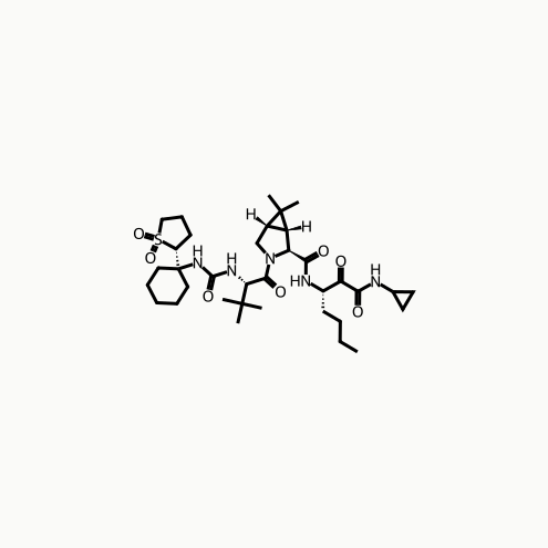 CCCC[C@H](NC(=O)[C@@H]1[C@@H]2[C@H](CN1C(=O)[C@@H](NC(=O)NC1([C@H]3CCCS3(=O)=O)CCCCC1)C(C)(C)C)C2(C)C)C(=O)C(=O)NC1CC1